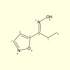 CCC(=NO)c1ccno1